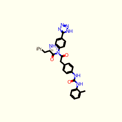 Cc1ccccc1NC(=O)Nc1ccc(CC(=O)N(C(=O)[C@@H](N)CC(C)C)c2ccc(-c3nnn[nH]3)cc2)cc1